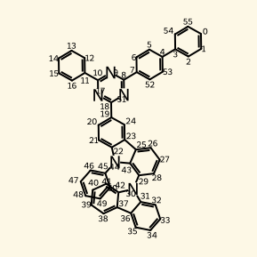 c1ccc(-c2ccc(-c3nc(-c4ccccc4)nc(-c4ccc5c(c4)c4cccc(-n6c7ccccc7c7ccccc76)c4n5-c4ccccc4)n3)cc2)cc1